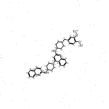 CCOc1ccc(CN2CCC(Nc3cc(N4CCC(Nc5ccc6ccccc6n5)CC4)c4ccccc4n3)CC2)cc1OCC